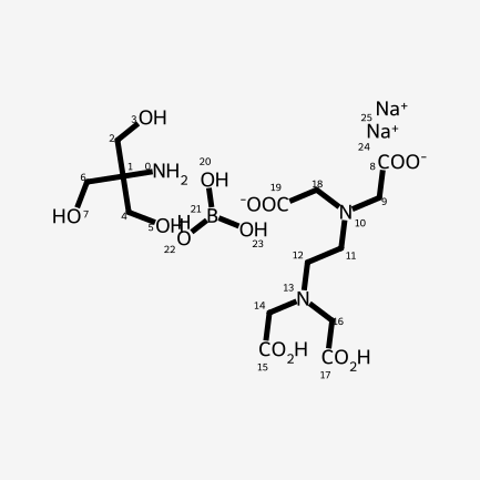 NC(CO)(CO)CO.O=C([O-])CN(CCN(CC(=O)O)CC(=O)O)CC(=O)[O-].OB(O)O.[Na+].[Na+]